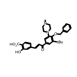 CN1CCN(c2cc(C(=O)C=Cc3ccc(C(=O)O)c(O)c3)cc(C(C)(C)C)c2OCc2ccccc2)CC1